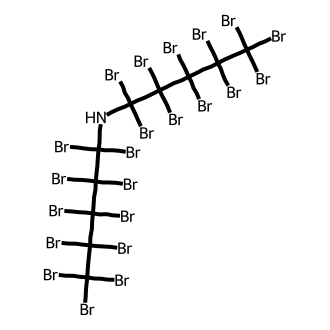 BrC(Br)(Br)C(Br)(Br)C(Br)(Br)C(Br)(Br)C(Br)(Br)NC(Br)(Br)C(Br)(Br)C(Br)(Br)C(Br)(Br)C(Br)(Br)Br